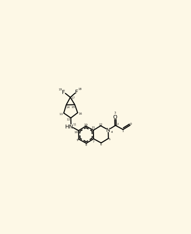 C=CC(=O)N1CCc2ccc(NC3CC4C(C3)C4(F)F)cc2C1